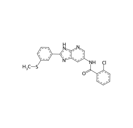 CSc1cccc(-c2nc3cc(NC(=O)c4ccccc4Cl)cnc3[nH]2)c1